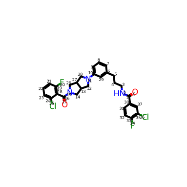 O=C(NCCCc1cccc(N2CC3CN(C(=O)c4c(F)cccc4Cl)CC3C2)c1)c1ccc(F)c(Cl)c1